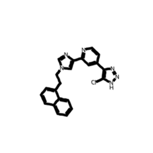 Clc1[nH]nnc1-c1ccnc(-c2cn(CCc3cccc4ccccc34)cn2)c1